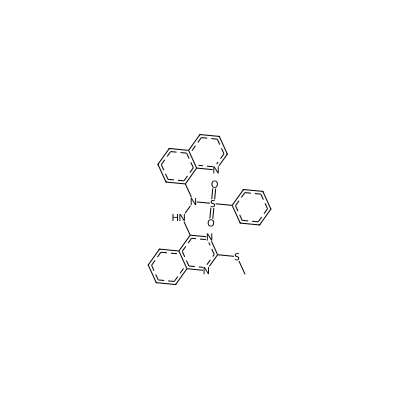 CSc1nc(NN(c2cccc3cccnc23)S(=O)(=O)c2ccccc2)c2ccccc2n1